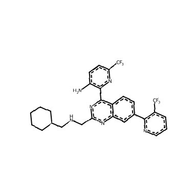 Nc1ccc(C(F)(F)F)nc1-c1nc(CNCC2CCCCC2)nc2cc(-c3ncccc3C(F)(F)F)ccc12